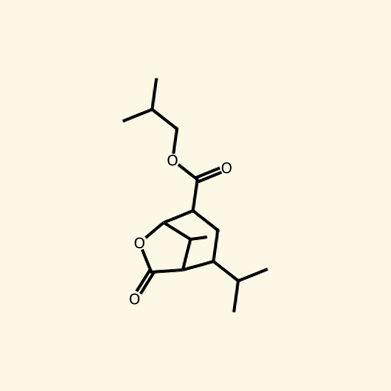 CC(C)COC(=O)C1CC(C(C)C)C2C(=O)OC1C2C